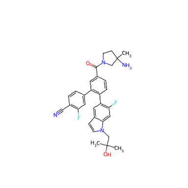 CC(C)(O)Cn1ccc2cc(-c3ccc(C(=O)N4CCC(C)(N)C4)cc3-c3ccc(C#N)c(F)c3)c(F)cc21